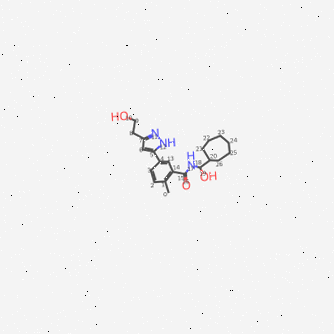 Cc1ccc(-c2cc(CCO)n[nH]2)cc1C(=O)NC(O)C1CCCCCC1